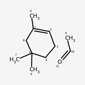 CC1=CCCC(C)(C)C1.CC=O